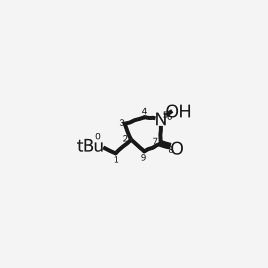 CC(C)(C)CC1CCN(O)C(=O)C1